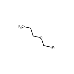 CC(C)COCCC(F)(F)F